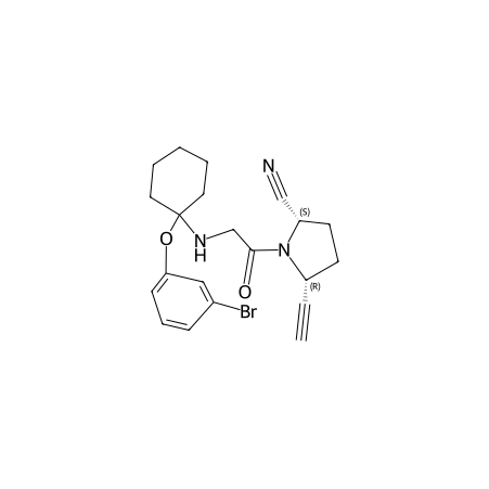 C#C[C@H]1CC[C@@H](C#N)N1C(=O)CNC1(Oc2cccc(Br)c2)CCCCC1